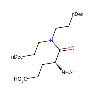 CCCCCCCCCCCCN(CCCCCCCCCCCC)C(=O)[C@H](CCC(=O)O)NC(C)=O